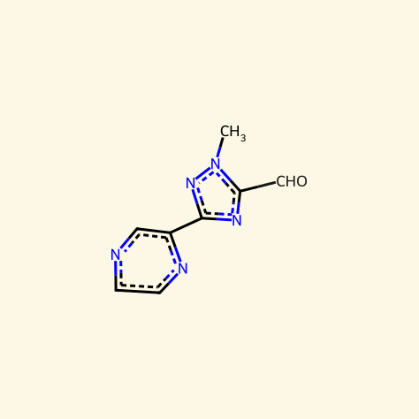 Cn1nc(-c2cnccn2)nc1C=O